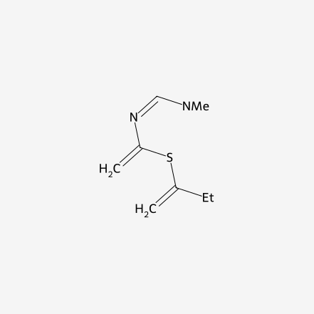 C=C(CC)SC(=C)/N=C\NC